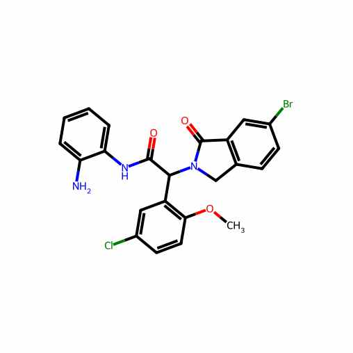 COc1ccc(Cl)cc1C(C(=O)Nc1ccccc1N)N1Cc2ccc(Br)cc2C1=O